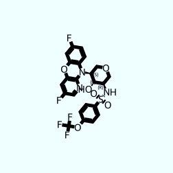 O=S(=O)(N[C@@H]1COC[C@H](N2c3ccc(F)cc3Oc3cc(F)cnc32)[C@H]1O)c1ccc(OC(F)(F)F)cc1